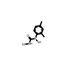 CCNC(=O)N(S)c1ccc(C)cc1C